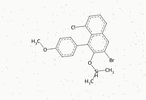 COc1ccc(-c2c(O[SiH](C)C)c(Br)cc3cccc(Cl)c23)cc1